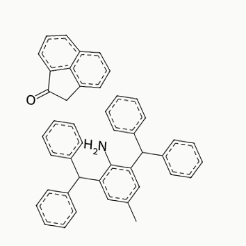 Cc1cc(C(c2ccccc2)c2ccccc2)c(N)c(C(c2ccccc2)c2ccccc2)c1.O=C1Cc2cccc3cccc1c23